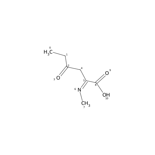 CCC(=O)CC(=NC)C(=O)O